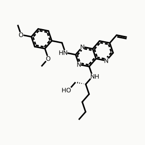 C=Cc1cnc2c(N[C@@H](CO)CCCC)nc(NCc3ccc(OC)cc3OC)nc2c1